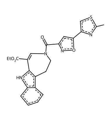 CCOC(=O)C1=CN(C(=O)c2cc(-c3csc(C)n3)on2)CCc2c1[nH]c1ccccc21